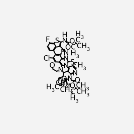 C=CCC(c1cccnc1N(C(=O)OC(C)(C)C)C(=O)OC(C)(C)C)N1CCOc2c(Cl)c(-c3ccc(F)c4sc(NC(=O)OC(C)(C)C)c(C#N)c34)c(F)c3nc(SC)nc1c23